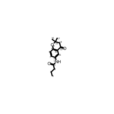 CCCC(=O)Nc1ccc2c(c1)C(=O)CC(C)(C)O2